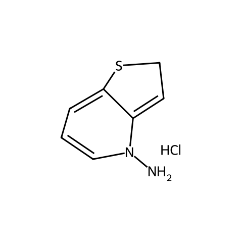 Cl.NN1C=CC=C2SCC=C21